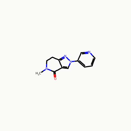 CN1CCc2nn(-c3cccnc3)cc2C1=O